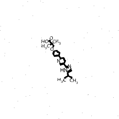 CCC(CC)c1cnc(-c2ccc(-c3ccc(OCC(C)(C)C(=O)O)cc3)nc2)[nH]1